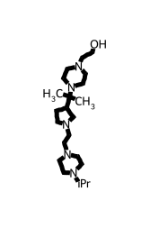 CC(C)N1CCN(CCN2CCC(C(C)(C)N3CCN(CCO)CC3)C2)CC1